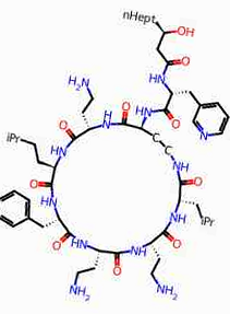 CCCCCCC[C@@H](O)CC(=O)N[C@H](Cc1cccnc1)C(=O)N[C@H]1CCNC(=O)[C@H](CC(C)C)NC(=O)[C@H](CCN)NC(=O)[C@H](CCN)NC(=O)[C@H](Cc2ccccc2)NC(=O)[C@@H](CCC(C)C)NC(=O)[C@H](CCN)NC1=O